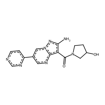 Nc1nn2cc(-c3ccncn3)cnc2c1C(=O)N1CCC(O)C1